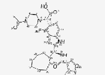 CC(=O)N1CCN([C@H](C(=O)O)c2ccc3[nH]c([C@@H](NC(=O)c4conc4C)C4CCCCCCC4)nc3c2F)CC1